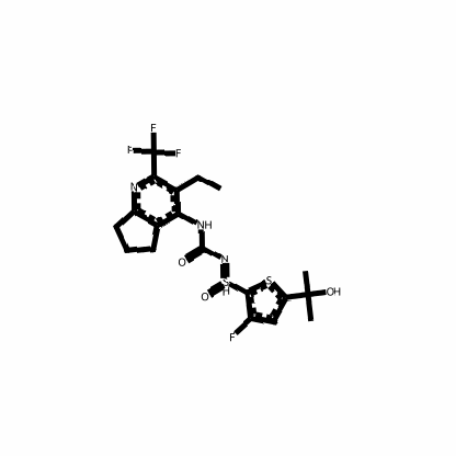 CCc1c(C(F)(F)F)nc2c(c1NC(=O)/N=[SH](=O)/c1sc(C(C)(C)O)cc1F)CCC2